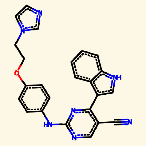 N#Cc1cnc(Nc2ccc(OCCn3ccnc3)cc2)nc1-c1c[nH]c2ccccc12